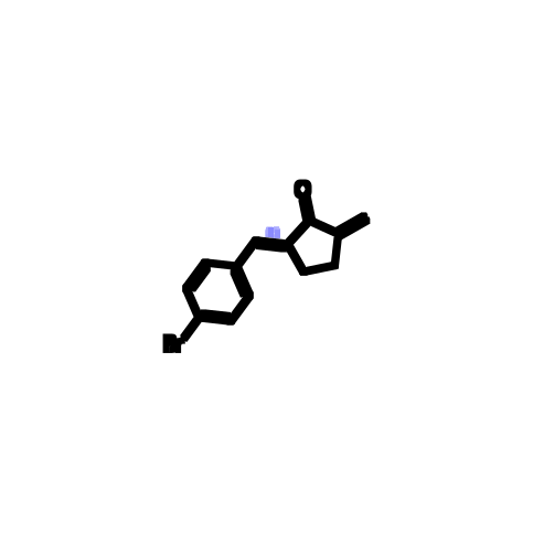 C=C1CC/C(=C\c2ccc(Br)cc2)C1=O